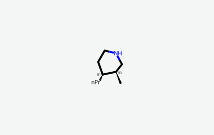 CCC[C@H]1CCNC[C@H]1C